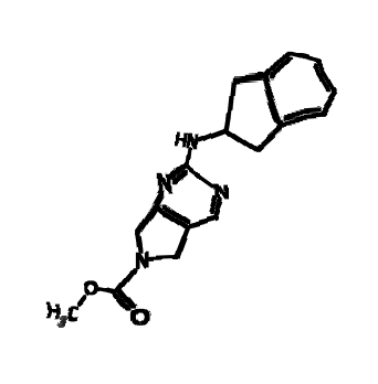 COC(=O)N1Cc2cnc(NC3Cc4ccccc4C3)nc2C1